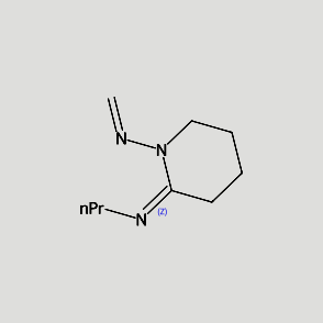 C=NN1CCCC/C1=N/CCC